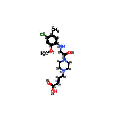 COc1cc(Cl)c(C)cc1NCC(=O)N1CCN(C/C=C/C(=O)O)CC1